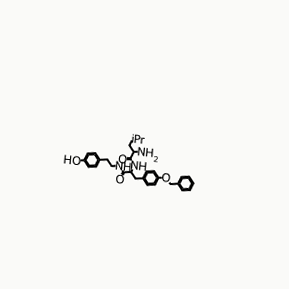 CC(C)CC(N)C(=O)NC(Cc1ccc(OCc2ccccc2)cc1)C(=O)NCCc1ccc(O)cc1